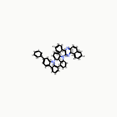 c1ccc(-c2ccc3c4cccc5c6cccc7c6c6c(cccc6n(c3c2)c54)n7-c2nc3c(ccc4ccccc43)nc2-c2ccccc2)cc1